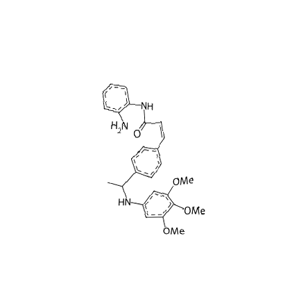 COc1cc(NC(C)c2ccc(/C=C\C(=O)Nc3ccccc3N)cc2)cc(OC)c1OC